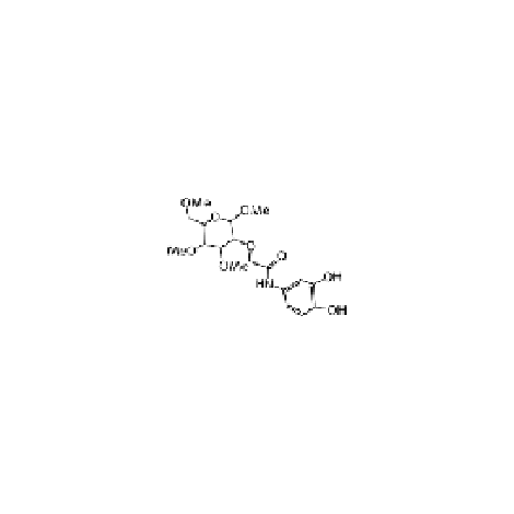 COCC1OC(OC)C(OCC(=O)Nc2ccc(O)c(O)c2)C(OC)C1OC